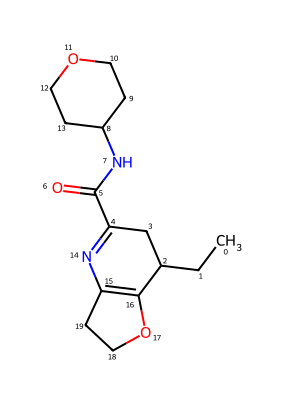 CCC1CC(C(=O)NC2CCOCC2)=NC2=C1OCC2